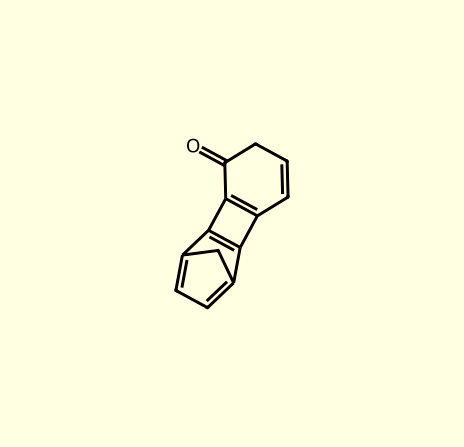 O=C1CC=CC2=C1C1=C2C2=CC=C1C2